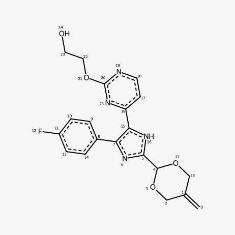 C=C1COC(c2nc(-c3ccc(F)cc3)c(-c3ccnc(OCCO)n3)[nH]2)OC1